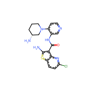 Nc1sc2ccc(Cl)nc2c1C(=O)Nc1cnccc1N1CCC[C@@H](N)C1